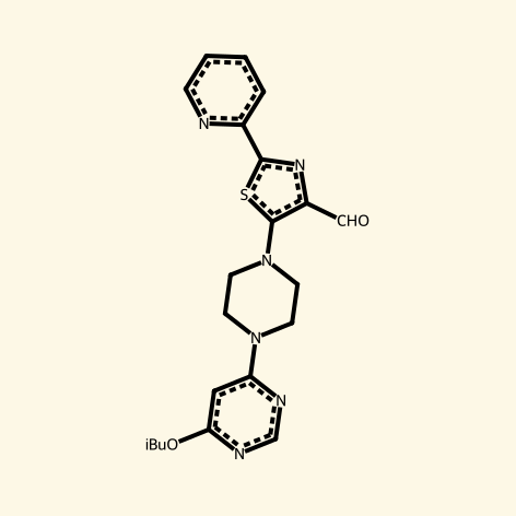 CC(C)COc1cc(N2CCN(c3sc(-c4ccccn4)nc3C=O)CC2)ncn1